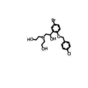 OCCN(CCO)CC(O)c1cc(Br)ccc1OCc1ccc(Cl)cc1